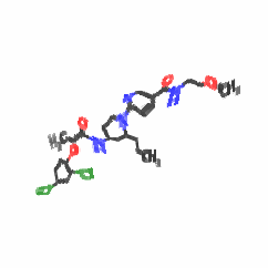 CCCC1CC(NC(=O)C(C)Oc2ccc(Cl)cc2Cl)CCN1c1ccc(C(=O)NCCOC)cn1